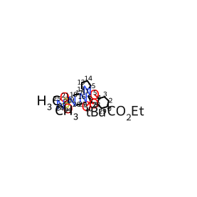 CCOC(=O)C1CCC(OC(C(=O)OC(C)(C)C)(N2CCCC2)N2CCN(S(=O)(=O)N(C)C)CC2)CC1